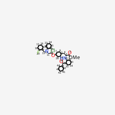 COC(=O)C(Cc1ccc(OCCN(Cc2ccccc2F)c2ccccc2Cl)cc1)Nc1ccccc1C(=O)c1ccccc1